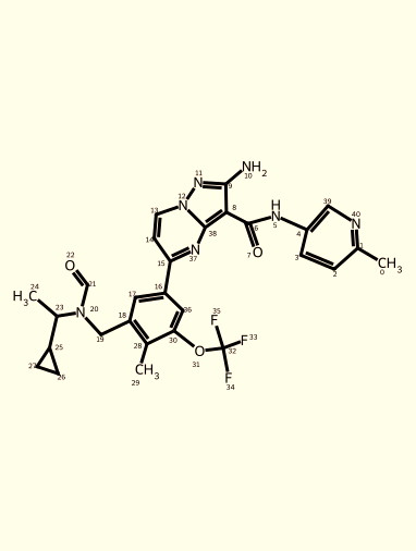 Cc1ccc(NC(=O)c2c(N)nn3ccc(-c4cc(CN(C=O)C(C)C5CC5)c(C)c(OC(F)(F)F)c4)nc23)cn1